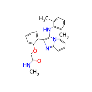 CNC(=O)COc1ccccc1-c1nc2ccccn2c1Nc1c(C)cccc1C